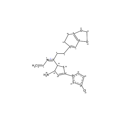 C=C/N=C(/CCC1=CC2=C(CC1)OCO2)C1SC(c2ccc(Cl)s2)=CC1N